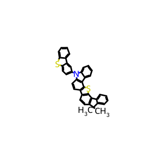 CC1(C)c2ccccc2-c2c1ccc1c2sc2c1ccc1c2c2ccccc2n1-c1ccc2sc3ccccc3c2c1